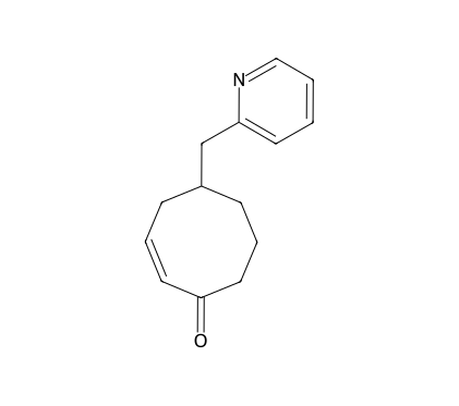 O=C1C=CCC(Cc2ccccn2)CCC1